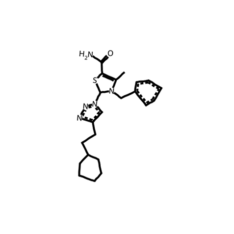 CC1=C(C(N)=O)SC(n2cc(CCC3CCCCC3)nn2)N1Cc1ccccc1